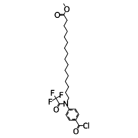 COC(=O)CCCCCCCCCCCCCCCN(C(=O)C(F)(F)F)c1ccc(C(=O)Cl)cc1